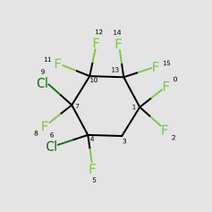 FC1(F)CC(F)(Cl)C(F)(Cl)C(F)(F)C1(F)F